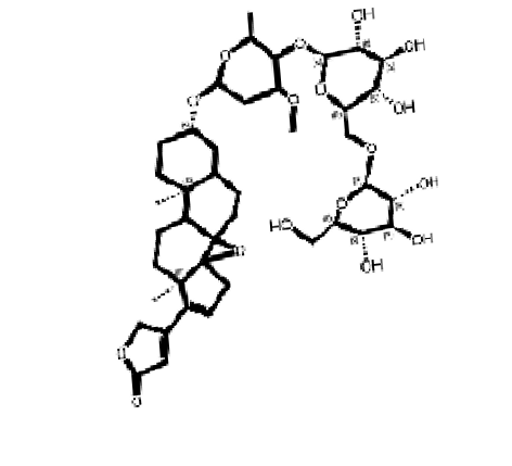 COC1CC(O[C@H]2CC[C@@]3(C)C(CCC45OC46CC=C(C4=CC(=O)OC4)[C@@]6(C)CCC53)C2)OC(C)C1O[C@@H]1O[C@H](CO[C@@H]2O[C@H](CO)[C@@H](O)[C@H](O)[C@H]2O)[C@@H](O)[C@H](O)[C@H]1O